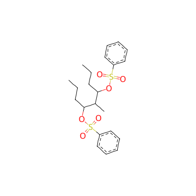 CCCC(OS(=O)(=O)c1ccccc1)C(C)C(CCC)OS(=O)(=O)c1ccccc1